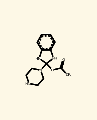 O=C(OC1(N2CCNCC2)Nc2ccccc2N1)C(F)(F)F